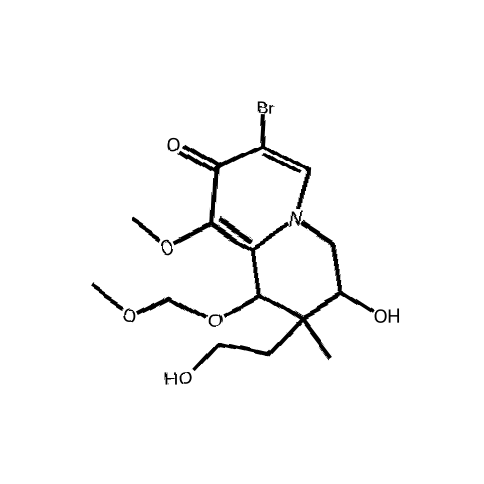 COCOC1c2c(OC)c(=O)c(Br)cn2CC(O)C1(C)CCO